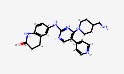 NCC1CCN(c2nc(Nc3ccc4c(c3)CCC(=O)N4)ncc2-c2ccncc2)CC1